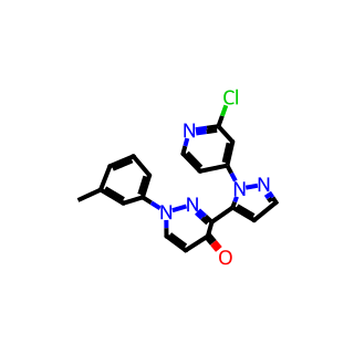 Cc1cccc(-n2ccc(=O)c(-c3ccnn3-c3ccnc(Cl)c3)n2)c1